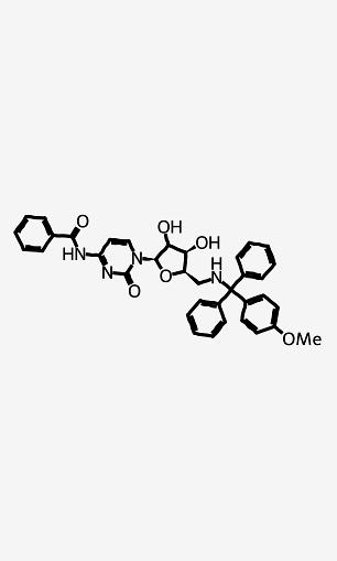 COc1ccc(C(NC[C@H]2O[C@@H](n3ccc(NC(=O)c4ccccc4)nc3=O)C(O)[C@H]2O)(c2ccccc2)c2ccccc2)cc1